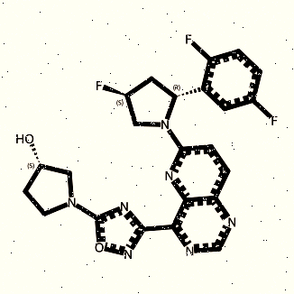 O[C@H]1CCN(c2nc(-c3ncnc4ccc(N5C[C@@H](F)C[C@@H]5c5cc(F)ccc5F)nc34)no2)C1